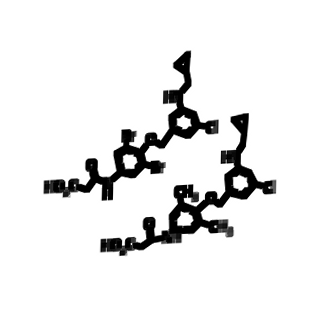 Cc1cc(NC(=O)CC(=O)O)cc(C)c1OCc1cc(Cl)cc(NCC2CC2)c1.O=C(O)CC(=O)Nc1cc(Br)c(OCc2cc(Cl)cc(NCC3CC3)c2)c(Br)c1